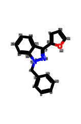 c1ccc(Cn2nc(-c3ccco3)c3ccccc32)cc1